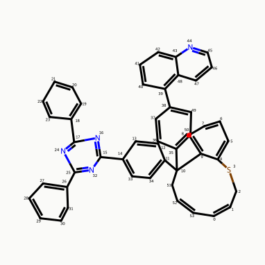 C1=C\CSc2ccccc2C(c2ccc(-c3nc(-c4ccccc4)nc(-c4ccccc4)n3)cc2)(c2ccc(-c3cccc4ncccc34)cc2)C\C=C/1